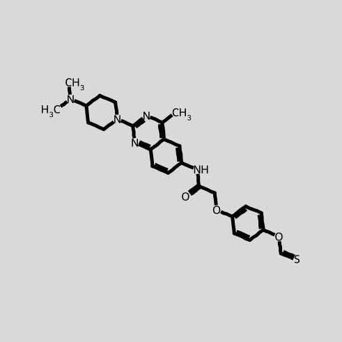 Cc1nc(N2CCC(N(C)C)CC2)nc2ccc(NC(=O)COc3ccc(OC=S)cc3)cc12